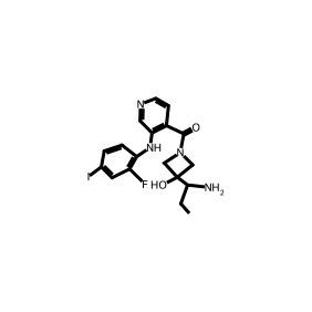 CCC(N)C1(O)CN(C(=O)c2ccncc2Nc2ccc(I)cc2F)C1